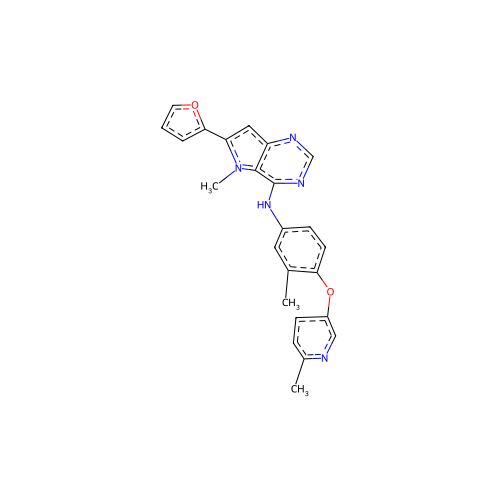 Cc1ccc(Oc2ccc(Nc3ncnc4cc(-c5ccco5)n(C)c34)cc2C)cn1